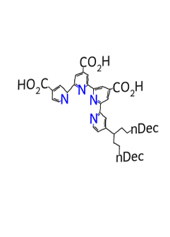 CCCCCCCCCCCCC(CCCCCCCCCCCC)c1ccnc(-c2cc(C(=O)O)cc(-c3cc(C(=O)O)cc(-c4cc(C(=O)O)ccn4)n3)n2)c1